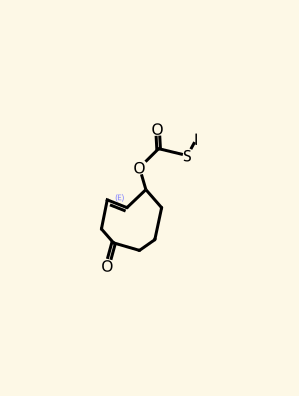 O=C1C/C=C/C(OC(=O)SI)CCC1